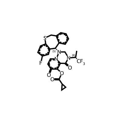 C[C@@H](N1CN([C@H]2c3ccccc3CSc3ccc(F)cc32)n2ccc(=O)c(OC(=O)C3CC3)c2C1=O)C(F)(F)F